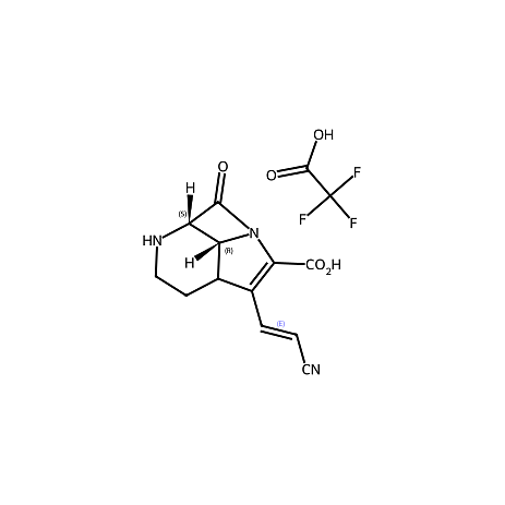 N#C/C=C/C1=C(C(=O)O)N2C(=O)[C@H]3NCCC1[C@H]32.O=C(O)C(F)(F)F